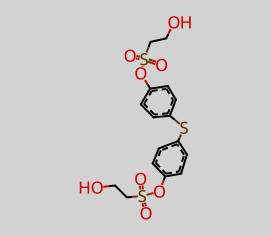 O=S(=O)(CCO)Oc1ccc(Sc2ccc(OS(=O)(=O)CCO)cc2)cc1